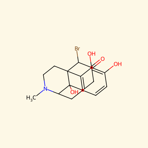 CN1CCC23c4c(ccc(O)c4O)CC1C2(O)CCC(=O)C3Br